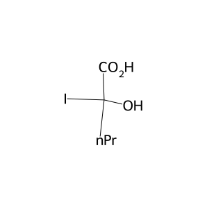 CCCC(O)(I)C(=O)O